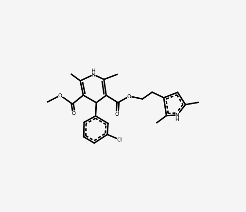 COC(=O)C1=C(C)NC(C)=C(C(=O)OCCc2cc(C)[nH]c2C)C1c1cccc(Cl)c1